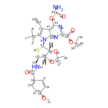 C#Cc1c(C(C)(C)C)n([C@@H]2S[C@H](CNC(=O)c3ccc(OC)cc3)[C@H]3OC(C)(C)O[C@H]32)c2nc(C(=O)OC(C)(C)C)nc(OC(N)=O)c12